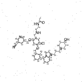 CC(=O)NCCNCc1cc(Cl)c(OCc2cccc(-c3cccc4c3ccn4CCCN3CCC(O)CC3)c2C)cc1OCc1cncc(C#N)c1